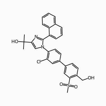 CC(C)(O)c1cn(-c2ccc(-c3ccc(CO)c(S(C)(=O)=O)c3)cc2Cl)c(-c2cccc3ccccc23)n1